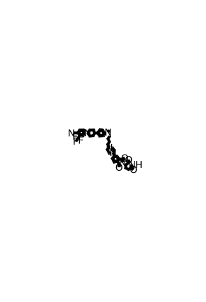 CN(CCCCN1CCN(c2ccc3c(c2)C(=O)N(C2CCC(=O)NC2=O)C3=O)CC1)c1ccc(C2CCN(c3ccc(C#N)c(C(F)(F)F)c3)CC2)cc1